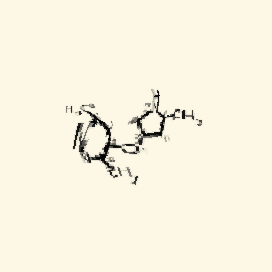 Cc1cc(O[C@H]2CN[C@@H](C)C2)c(C)nn1